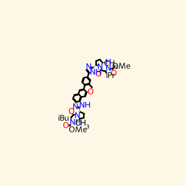 CC[C@H](C)[C@H](NC(=O)OC)C(=O)N1[C@@H](C)CC[C@H]1c1nc2ccc3cc4c(cc3c2[nH]1)OCc1cc(-c2cnc([C@@H]3CC[C@H](C)N3C(=O)C(NC(=O)OC)C(C)C)[nH]2)ccc1-4